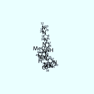 COc1nc(N2CCC(N3CCN(C)CC3)CC2)ccc1Nc1nc(Nc2ccc3nccnc3c2N(C)S(C)(=O)=O)c2[nH]ccc2n1